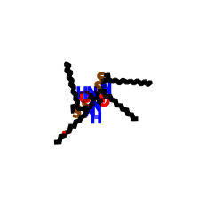 CCCCCCCCCCCCc1ccsc1-c1nc(CCCCCCCCCCCC)c(C2=C3C(=O)NC(c4nc(CCCCCCCCCCCC)c(-c5sccc5CCCCCCCCCCCC)s4)=C3C(=O)N2)s1